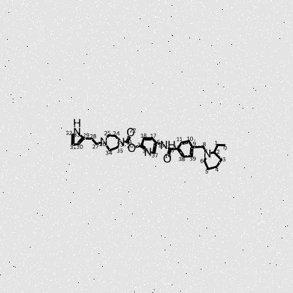 CCC1CCCCN1Cc1ccc(C(=O)Nc2ccc(OC(=O)N3CCN(CCc4ccc[nH]4)CC3)nc2)cc1